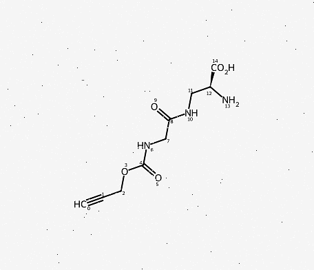 C#CCOC(=O)NCC(=O)NC[C@H](N)C(=O)O